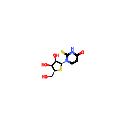 O=c1ccn([C@@H]2S[C@H](CO)[C@@H](O)[C@H]2O)c(=S)[nH]1